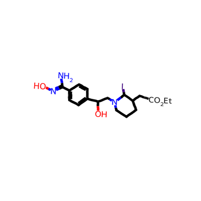 CCOC(=O)CC1CCCN(CC(O)c2ccc(C(N)=NO)cc2)C1I